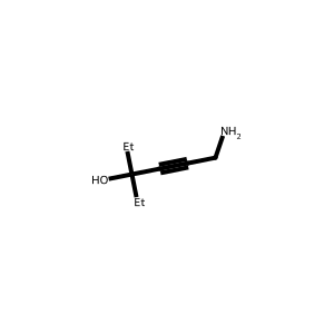 CCC(O)(C#CCN)CC